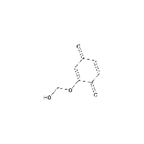 O=C1C=CC(=O)C(OCO)=C1